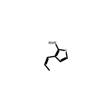 C/C=C\c1ccsc1NC